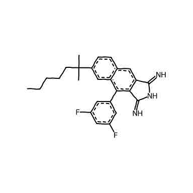 CCCCCC(C)(C)c1ccc2cc3c(c(-c4cc(F)cc(F)c4)c2c1)C(=N)NC3=N